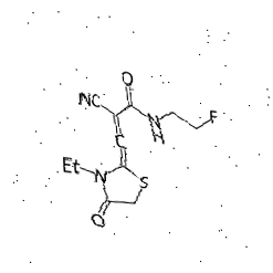 CCN1C(=O)CSC1=C=C(C#N)C(=O)NCCF